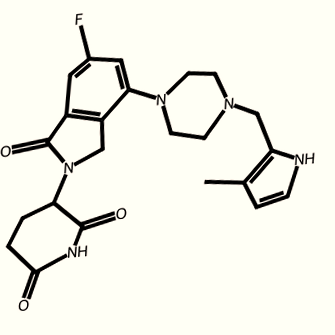 Cc1cc[nH]c1CN1CCN(c2cc(F)cc3c2CN(C2CCC(=O)NC2=O)C3=O)CC1